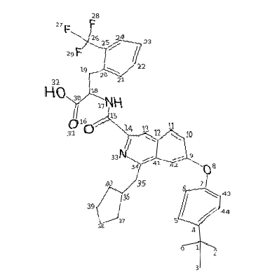 CC(C)(C)c1ccc(Oc2ccc3cc(C(=O)NC(Cc4ccccc4C(F)(F)F)C(=O)O)nc(CC4CCCC4)c3c2)cc1